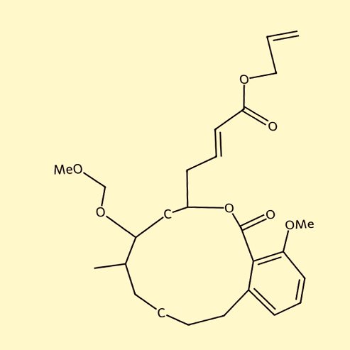 C=CCOC(=O)/C=C/CC1CC(OCOC)C(C)CCCCc2cccc(OC)c2C(=O)O1